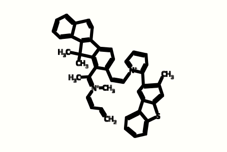 C=C/C=C\[N+](C)=C(/C)c1c(/C=C\[n+]2ccccc2-c2cc3c(cc2C)sc2ccccc23)ccc2c1C(C)(C)c1c-2ccc2ccccc12